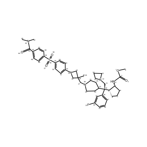 COC(=O)N[C@H]1CCC[C@@H]1[C@](CN1CCC1)(c1cccc(F)c1)C1CCN(CC2(F)CN(c3ccc(S(=O)(=O)c4ccc(C(=O)N(C)C)cc4)cc3)C2)CC1